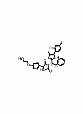 Cc1nc([C@H]([C@@H](C)c2ccccc2)N2C(=O)NC(c3ccc(OCCO)cc3)C2=O)[nH]c1-c1ccc(I)cc1F